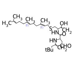 C=C(CC(C)(C)C)NC(CC=O)C(=O)NC(CSC/C=C(\C)CC/C=C(\C)CCC=C(C)C)C(=C)O